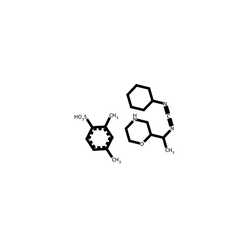 CC(N=C=NC1CCCCC1)C1CNCCO1.Cc1ccc(S(=O)(=O)O)c(C)c1